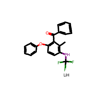 Cc1c(PC(F)(F)F)ccc(Oc2ccccc2)c1C(=O)c1ccccc1.[LiH]